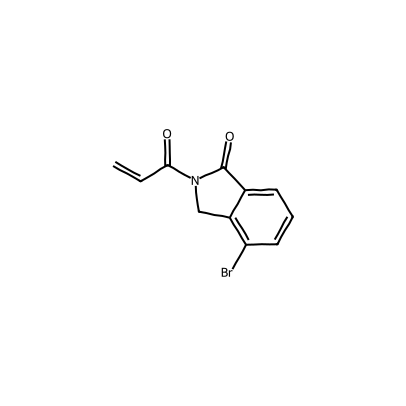 C=CC(=O)N1Cc2c(Br)cccc2C1=O